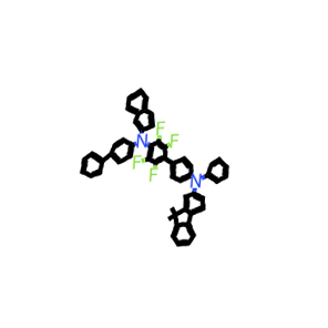 CC1(C)c2ccccc2-c2ccc(N(c3ccccc3)c3ccc(-c4c(F)c(F)c(N(c5ccc(-c6ccccc6)cc5)c5ccc6ccccc6c5)c(F)c4F)cc3)cc21